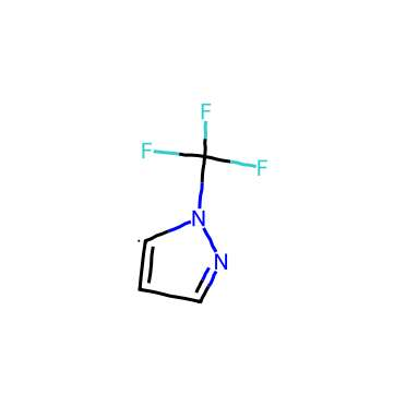 FC(F)(F)n1[c]ccn1